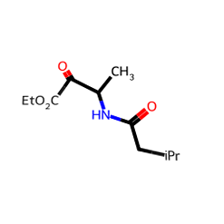 CCOC(=O)C(=O)C(C)NC(=O)CC(C)C